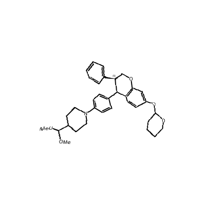 COC(OC)C1CCN(c2ccc(C3c4ccc(OC5CCCCO5)cc4OC[C@@H]3c3ccccc3)cc2)CC1